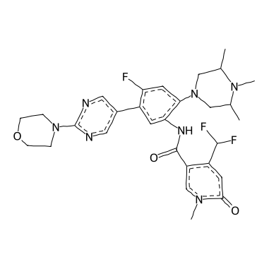 CC1CN(c2cc(F)c(-c3cnc(N4CCOCC4)nc3)cc2NC(=O)c2cn(C)c(=O)cc2C(F)F)CC(C)N1C